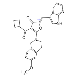 COc1ccc2c(c1)CCN(C1=C(C(=O)C3CCC3)C(=O)/C(=C/c3c[nH]c4ncccc34)O1)C2